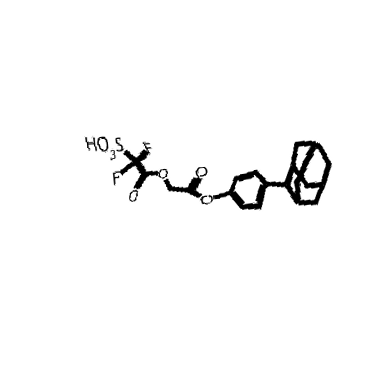 O=C(COC(=O)C(F)(F)S(=O)(=O)O)Oc1ccc(C2C3CC4CC(C3)CC2C4)cc1